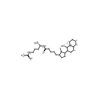 CCCC1C(C2CCC(CCCCC(=O)NC(C=O)CCCNC(=N)N)C2C)CCC2CCCC[C@@]21C